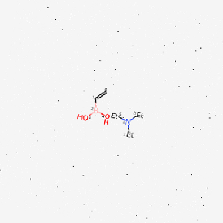 C=CB(O)O.CCN(CC)CC